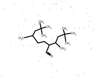 CC(CCC([C]=O)C(C)CC(C)(C)C)CC(C)(C)C